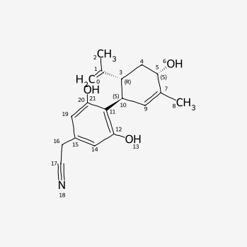 C=C(C)[C@@H]1C[C@H](O)C(C)=C[C@H]1c1c(O)cc(CC#N)cc1O